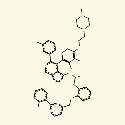 COc1ccccc1-c1nccc(COc2ccccc2C[C@@H](Oc2nsc3cnc(-c4cccc(F)c4)c(C4=C(C)C(Cl)=C(OCCN5CCN(C)CC5)CC4)c23)C(=O)O)n1